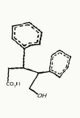 O=C(O)CC(c1ccccc1)C(CO)c1ccccc1